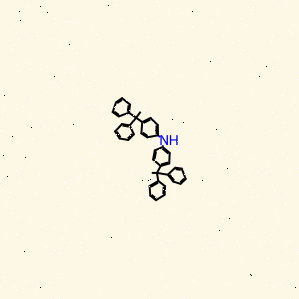 CC(c1ccccc1)(c1ccccc1)c1ccc(Nc2ccc(C(C)(c3ccccc3)c3ccccc3)cc2)cc1